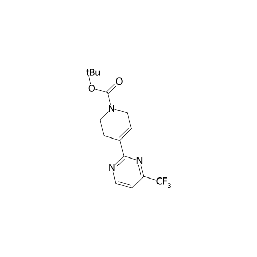 CC(C)(C)OC(=O)N1CC=C(c2nccc(C(F)(F)F)n2)CC1